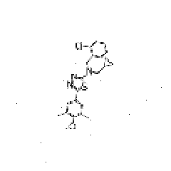 COc1c(C)cc(-c2nnc(N(Cc3ccccc3Cl)CC3CC3)s2)cc1C